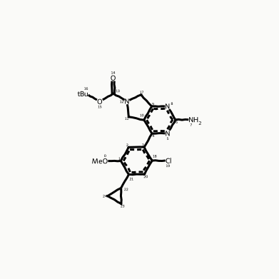 COc1cc(-c2nc(N)nc3c2CN(C(=O)OC(C)(C)C)C3)c(Cl)cc1C1CC1